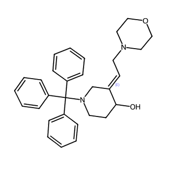 OC1CCN(C(c2ccccc2)(c2ccccc2)c2ccccc2)C/C1=C\CN1CCOCC1